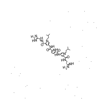 CC(C)CCn1cc(NC(=O)c2ccc(C(=O)Nc3cc(C(=O)NCCC(=N)N)n(CCC(C)C)c3)[nH]2)cc1C(=O)NCCC(=N)N